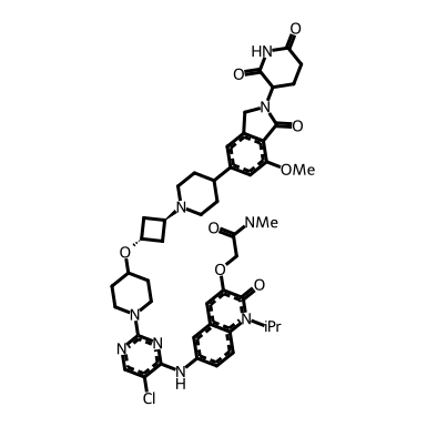 CNC(=O)COc1cc2cc(Nc3nc(N4CCC(O[C@H]5C[C@H](N6CCC(c7cc8c(c(OC)c7)C(=O)N(C7CCC(=O)NC7=O)C8)CC6)C5)CC4)ncc3Cl)ccc2n(C(C)C)c1=O